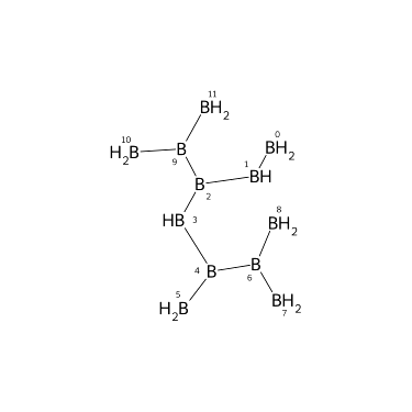 BBB(BB(B)B(B)B)B(B)B